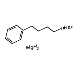 CCCCCCCCCCc1cc[c]cc1.[MgH2]